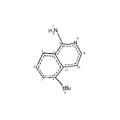 CC(C)(C)c1cccc2c(N)nccc12